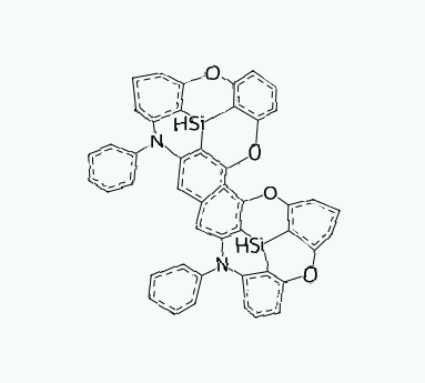 c1ccc(N2c3cccc4c3[SiH]3c5c(cccc5Oc5c3c2cc2cc3c6c(c52)Oc2cccc5c2[SiH]6c2c(cccc2N3c2ccccc2)O5)O4)cc1